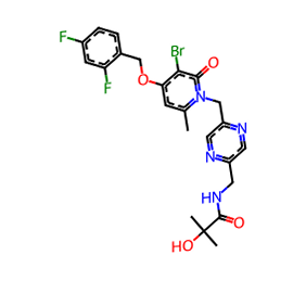 Cc1cc(OCc2ccc(F)cc2F)c(Br)c(=O)n1Cc1cnc(CNC(=O)C(C)(C)O)cn1